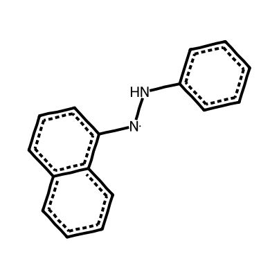 c1ccc(N[N]c2cccc3ccccc23)cc1